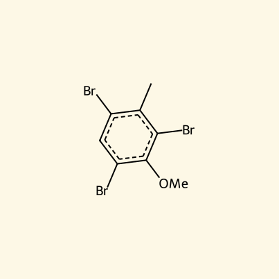 COc1c(Br)cc(Br)c(C)c1Br